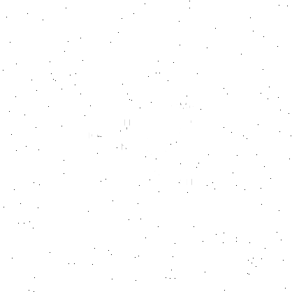 COc1cc2c3c(c4ccc(C)cc4c2cc1C)CN1C[C@@H](O)C[C@@H]1C3